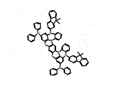 CC1(C)c2ccccc2-c2ccc(N3c4ccccc4B4c5cc6c(cc5Sc5cc(N(c7ccccc7)c7ccccc7)cc3c54)Sc3cc(N(c4ccccc4)c4ccccc4)cc4c3B6c3ccccc3N4c3ccc4c(c3)C(C)(C)c3ccccc3-4)cc21